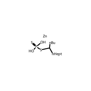 CCCCCCCC(CCCC)SP(O)(O)=S.[Zn]